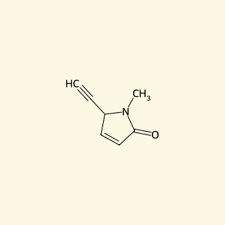 C#CC1C=CC(=O)N1C